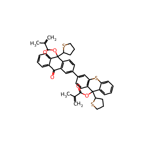 C=C(C)C(=O)OC1(C2CCCS2)c2ccccc2Sc2cc(-c3ccc4c(c3)C(=O)c3ccccc3C4(OC(=O)C(=C)C)C3CCCS3)ccc21